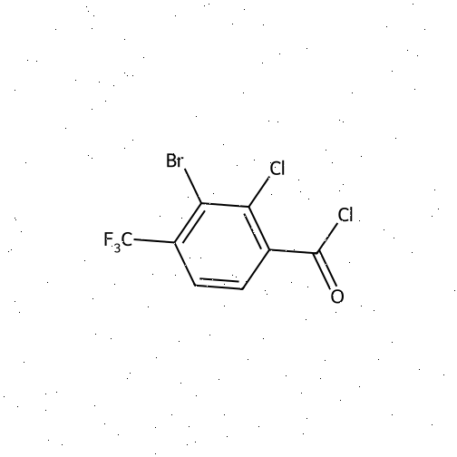 O=C(Cl)c1ccc(C(F)(F)F)c(Br)c1Cl